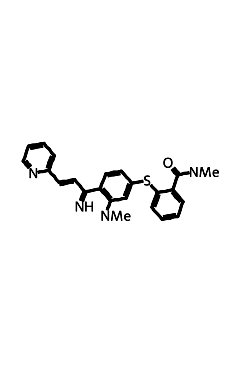 CNC(=O)c1ccccc1Sc1ccc(C(=N)/C=C/c2ccccn2)c(NC)c1